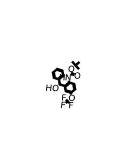 CC(C)(C)OC(=O)Nc1ccc(OC(F)(F)F)cc1C(O)c1ccccc1